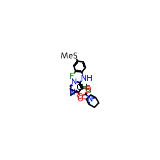 CSc1ccc(Nc2ncnc(O[C@H]3CC4CCC3N4C(=O)OC3(C)CC3)c2F)c(F)c1